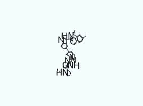 Cc1cccc([C@H](C)NC(=O)c2cn(C)c3ccc(-c4ccn5nc(NC(=O)[C@@H]6CCCN6)nc5c4)cc23)c1